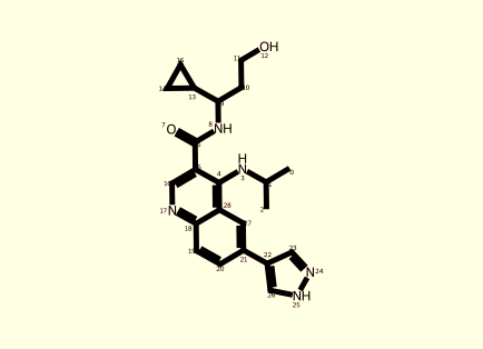 CC(C)Nc1c(C(=O)NC(CCO)C2CC2)cnc2ccc(-c3cn[nH]c3)cc12